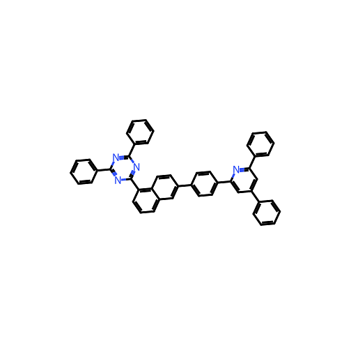 c1ccc(-c2cc(-c3ccccc3)nc(-c3ccc(-c4ccc5c(-c6nc(-c7ccccc7)nc(-c7ccccc7)n6)cccc5c4)cc3)c2)cc1